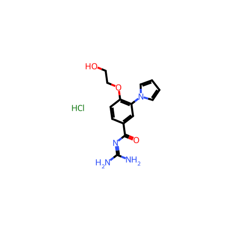 Cl.NC(N)=NC(=O)c1ccc(OCCO)c(-n2cccc2)c1